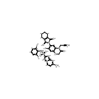 C#CCN1C(=O)COc2cc(F)c(N3C(=O)C4=C(CCCC4)C3=O)cc21.Cc1ccn2nc(S(=O)(=O)Nc3c(F)cccc3F)nc2n1